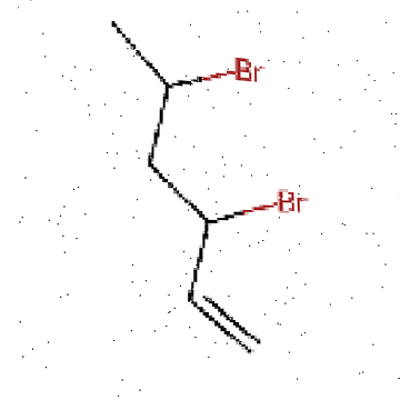 C=CC(Br)CC(C)Br